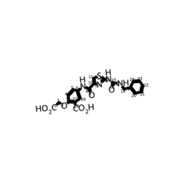 O=C(O)COc1ccc(NC(=O)c2csc(NC(=O)NCc3ccccc3)n2)cc1C(=O)O